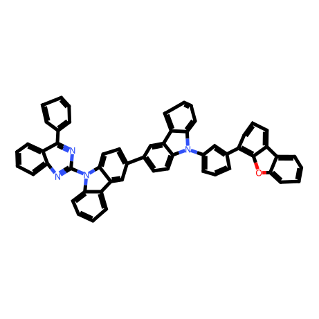 c1ccc(-c2nc(-n3c4ccccc4c4cc(-c5ccc6c(c5)c5ccccc5n6-c5cccc(-c6cccc7c6oc6ccccc67)c5)ccc43)nc3ccccc23)cc1